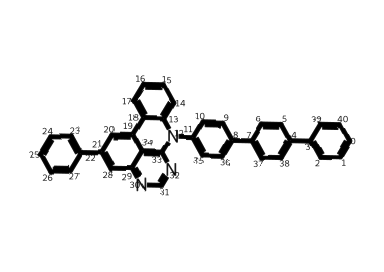 c1ccc(-c2ccc(-c3ccc(N4c5ccccc5-c5cc(-c6ccccc6)cc6ncnc4c56)cc3)cc2)cc1